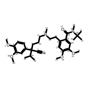 COc1ccc(C(C#N)(CCCN(C)CCc2cc(OC)c(OC)cc2C(=O)N(C)C(C)(C)C)C(C)C)cc1OC